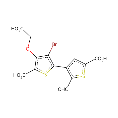 O=Cc1sc(C(=O)O)cc1-c1sc(C(=O)O)c(OCC(=O)O)c1Br